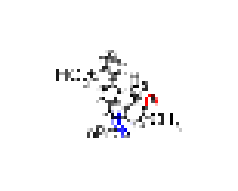 CCCc1nc2cc(C)c(=O)c(C)cc2n1Cc1ccc(-c2ccccc2C(=O)O)cc1